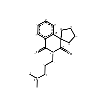 CN(C)CCCN1C(=O)c2ccccc2C2(CCCC2)C1=O